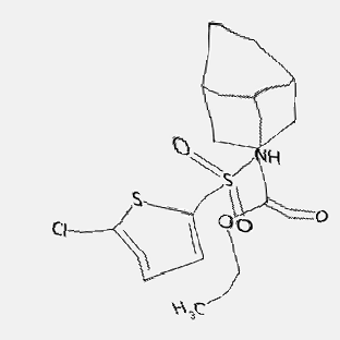 CCOC(=O)C1CC2CCC(C1)C2NS(=O)(=O)c1ccc(Cl)s1